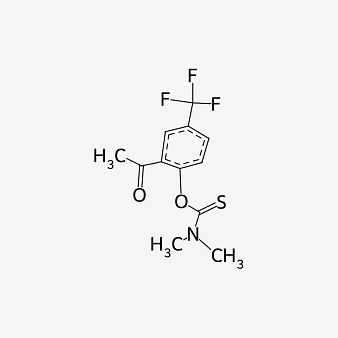 CC(=O)c1cc(C(F)(F)F)ccc1OC(=S)N(C)C